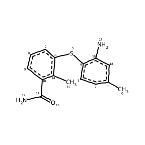 Cc1ccc(Sc2cccc(C(N)=O)c2C)c(N)c1